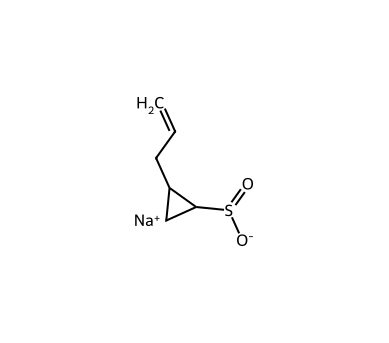 C=CCC1CC1S(=O)[O-].[Na+]